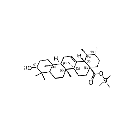 C[C@H]1[C@H](C)CC[C@]2(C(=O)O[Si](C)(C)C)CC[C@]3(C)C(=CC[C@@H]4[C@@]5(C)CC[C@H](O)C(C)(C)C5CC[C@]43C)[C@H]12